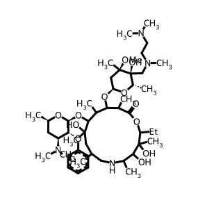 CCC1OC(=O)C(C)C(O[C@H]2C[C@@](C)(OC)[C@](O)(CN(C)CCN(C)C)[C@H](C)O2)C(C)C(O[C@@H]2O[C@H](C)C[C@H](N(C)C)[C@H]2Oc2ccccc2)C(C)(O)CC(C)CNC(C)C(O)C1(C)O